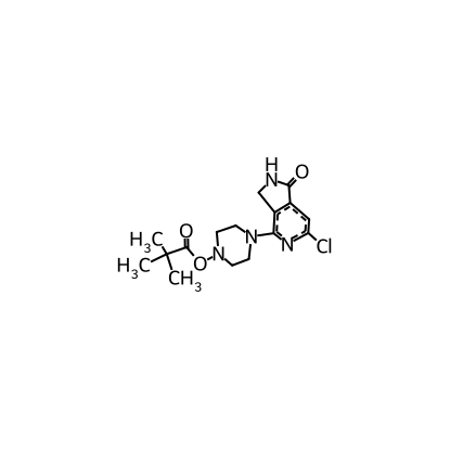 CC(C)(C)C(=O)ON1CCN(c2nc(Cl)cc3c2CNC3=O)CC1